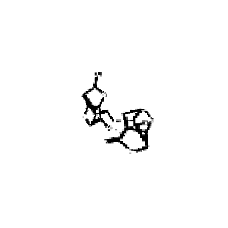 Cc1c2c3oc1c(CC[C@@H]1C4C[C@@]5(C)C(=O)OC1C5O4)c3C(O)O2